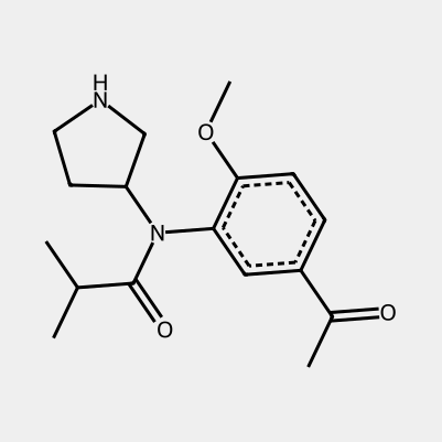 COc1ccc(C(C)=O)cc1N(C(=O)C(C)C)C1CCNC1